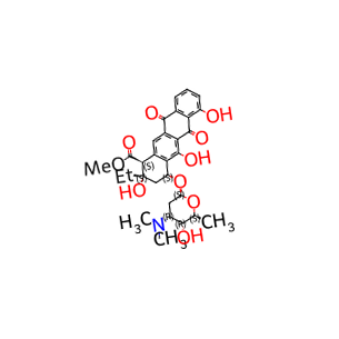 CC[C@]1(O)C[C@H](O[C@@H]2C[C@@H](N(C)C)[C@@H](O)[C@H](C)O2)c2c(cc3c(c2O)C(=O)c2c(O)cccc2C3=O)[C@@H]1C(=O)OC